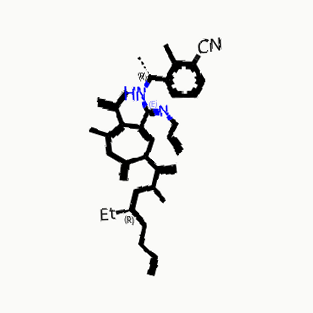 C=CCC[C@@H](CC)CC(C)C(=C)C1C=C(/C(=N\CC=C)N[C@H](C)c2cccc(C#N)c2C)C(C(=C)C)=C(C)CC1=C